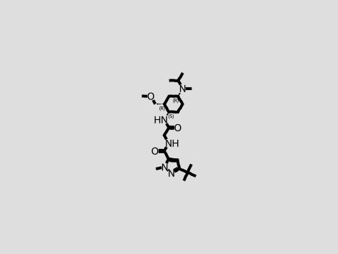 COC[C@@H]1C[C@H](N(C)C(C)C)CC[C@@H]1NC(=O)CNC(=O)c1cc(C(C)(C)C)nn1C